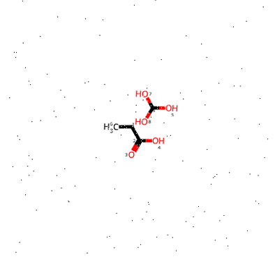 CCC(=O)O.OC(O)O